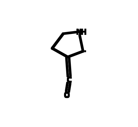 O=C=C1[CH]NCC1